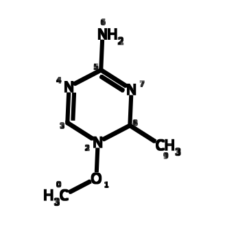 CON1C=NC(N)=NC1C